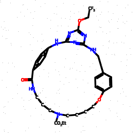 CCOC(=O)N1CCCCOc2ccc(cc2)CNc2nc(nc(OCC(F)(F)F)n2)Nc2ccc(cc2)C(=O)NCCC1